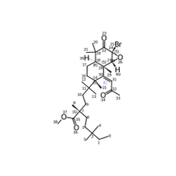 CCC(C)(C)CC[C@@](C)(CCC(C)(C)[C@]1(C)CC[C@H]2C(C)(C)C(=O)[C@]3(Br)O[C@@H]3[C@]2(C)/C1=C/C(C)=O)C(=O)OC